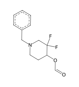 O=COC1CCN(Cc2ccccc2)CC1(F)F